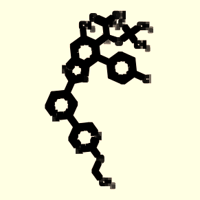 CCOc1ncc(-c2cc(-c3nc4cc(C)c([C@H](OC(C)(C)C)C(=O)O)c(-c5ccc(Cl)cc5)c4s3)ccn2)cn1